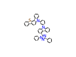 c1ccc(-c2nc(-c3cccc4c3c3ccccc3n4-c3cccc(-n4c5ccccc5c5c6sc7ccccc7c6ccc54)c3)n(-c3ccccc3)n2)cc1